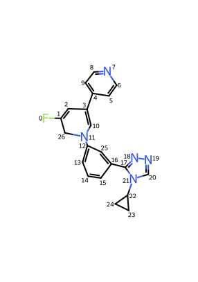 FC1=CC(c2ccncc2)=CN(c2cccc(-c3nncn3C3CC3)c2)C1